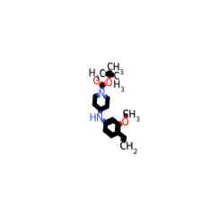 C=Cc1ccc(NC2CCN(C(=O)OC(C)(C)C)CC2)cc1OC